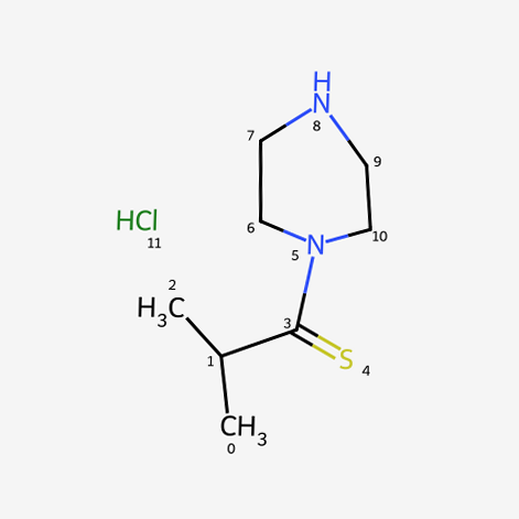 CC(C)C(=S)N1CCNCC1.Cl